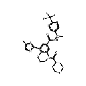 Cc1cnc(-c2cc(C(=O)N[C@H](C)c3cnc(C(F)(F)F)nc3)cc3c2OCCN3C(=O)C2CCOCC2)s1